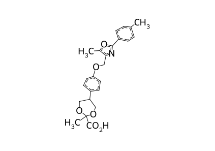 Cc1ccc(-c2nc(COc3ccc(C4COC(C)(C(=O)O)OC4)cc3)c(C)o2)cc1